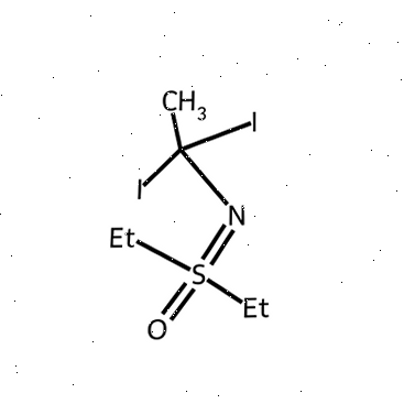 CCS(=O)(CC)=NC(C)(I)I